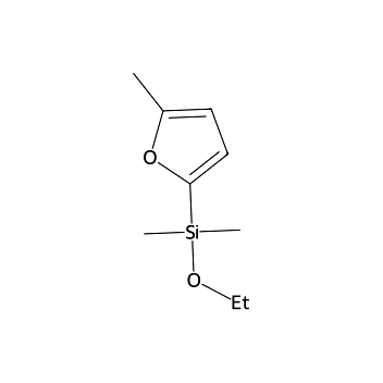 CCO[Si](C)(C)c1ccc(C)o1